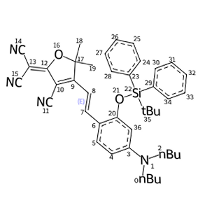 CCCCN(CCCC)c1ccc(/C=C/C2=C(C#N)C(=C(C#N)C#N)OC2(C)C)c(O[Si](c2ccccc2)(c2ccccc2)C(C)(C)C)c1